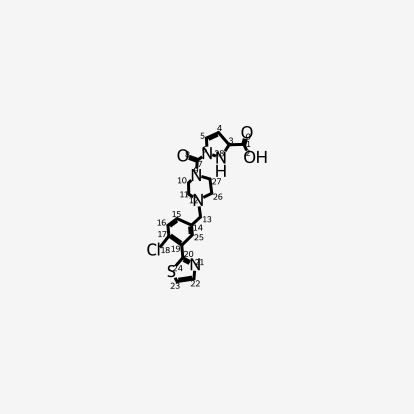 O=C(O)C1C=CN(C(=O)N2CCN(Cc3ccc(Cl)c(-c4nccs4)c3)CC2)N1